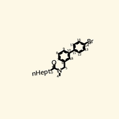 CCCCCCCC(=O)N(C)Cc1cccc(-c2ccc(Br)cc2)c1